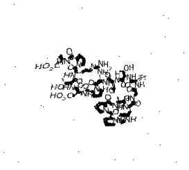 CC(C)[C@H](NC(=O)CNC(=O)[C@H](Cc1cnc[nH]1)NC(=O)[C@H](C)NC(=O)[C@@H]1CCCN1C(=O)[C@@H]1CCCN1)C(=O)N[C@H](C(=O)N[C@@H](CO)C(=O)N[C@@H](C)C(=O)N1CCC[C@H]1C(=O)N[C@@H](CC(=O)O)C(=O)N[C@H](C(=O)N[C@@H](CCCN=C(N)N)C(=O)N1CCC[C@H]1C(=O)N[C@@H](C)C(=O)O)[C@@H](C)O)[C@@H](C)O